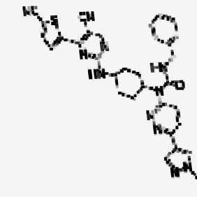 Cn1cc(-c2ccc(N(C(=O)NCc3ccccc3)C3CCC(Nc4ncc(C#N)c(-c5ccc(C#N)s5)n4)CC3)nn2)cn1